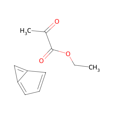 CCOC(=O)C(C)=O.c1cc2cc-2c1